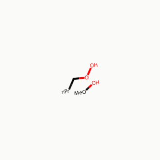 CCCCOO.COO